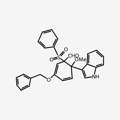 COC1(c2c[nH]c3ccccc23)C=CC(OCc2ccccc2)=CC1(C=O)S(=O)(=O)c1ccccc1